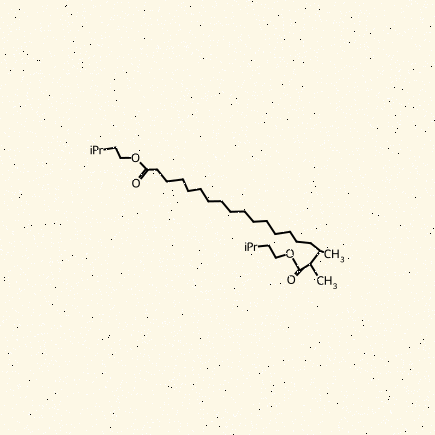 CC(C)CCOC(=O)CCCCCCCCCCCCCCCC(C)C(C)C(=O)OCCC(C)C